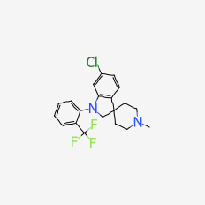 CN1CCC2(CC1)CN(c1ccccc1C(F)(F)F)c1cc(Cl)ccc12